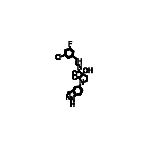 O=C(NCCc1cc(F)cc(Cl)c1)[C@@]1(O)CCN(c2ccc3[nH]ncc3c2)C1=O